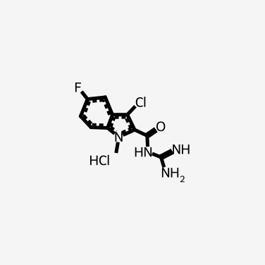 Cl.Cn1c(C(=O)NC(=N)N)c(Cl)c2cc(F)ccc21